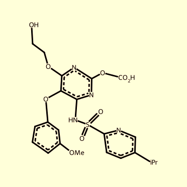 COc1cccc(Oc2c(NS(=O)(=O)c3ccc(C(C)C)cn3)nc(OC(=O)O)nc2OCCO)c1